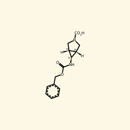 O=C(N[C@H]1[C@@H]2CN(C(=O)O)C[C@@H]21)OCc1ccccc1